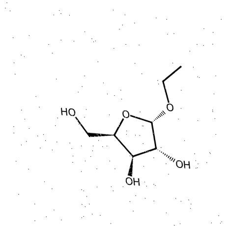 CCO[C@H]1O[C@H](CO)[C@H](O)[C@H]1O